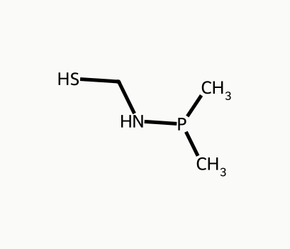 CP(C)NCS